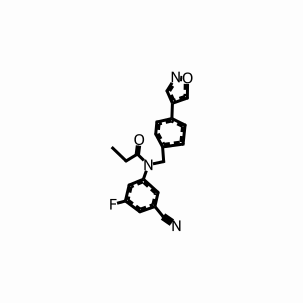 CCC(=O)N(Cc1ccc(-c2cnoc2)cc1)c1cc(F)cc(C#N)c1